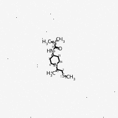 CSCC(C)N1CCC(NC(=O)N(C)C)CC1